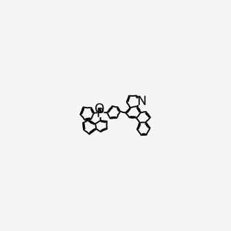 O=P(c1ccccc1)(c1ccc(-c2cc3c4ccccc4ccc3c3ncccc23)cc1)c1cccc2ccccc12